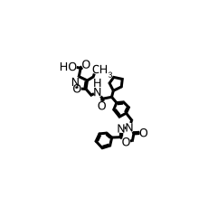 CCc1c(C(=O)O)noc1CNC(=O)C(c1ccc(CN2N=C(c3ccccc3)OCC2=O)cc1)C1CCCC1